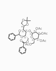 CC(=O)OC[C@H]1O[C@@H](O[C@H]2[C@@H]([C@H]3COC(C)(C)O3)OC(c3ccccc3)O[C@H]2COC(=O)c2ccccc2)[C@H](OC(C)=O)[C@@H](OC(C)=O)[C@@H]1OC(C)=O